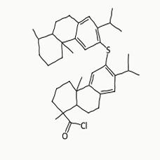 CC(C)c1cc2c(cc1Sc1cc3c(cc1C(C)C)CCC1C(C)(C(=O)Cl)CCCC31C)C1(C)CCCC(C)C1CC2